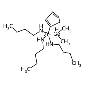 CCCC[NH][Zr]([NH]CCCC)([NH]CCCC)([C]1=CC=CC1)[GeH]([CH3])[CH3]